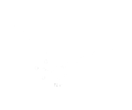 CCCCCCCCCc1cccc(S(=O)(=O)[O-])c1CCCCCCCCC.[Na+]